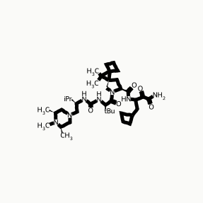 CC(C)[C@@H](CN1C[C@@H](C)N(C)[C@@H](C)C1)NC(=O)N[C@H](C(=O)N1C[C@]2(C[C@H]1C(=O)NC(CC1CCC1)C(=O)C(N)=O)C(C)(C)C21CCC1)C(C)(C)C